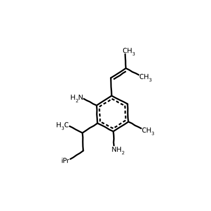 CC(C)=Cc1cc(C)c(N)c(C(C)CC(C)C)c1N